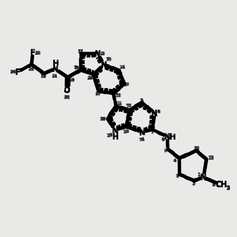 CN1CCC(CNc2ncc3c(-c4ccn5ncc(C(=O)NCC(F)F)c5c4)c[nH]c3n2)CC1